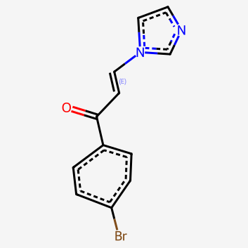 O=C(/C=C/n1ccnc1)c1ccc(Br)cc1